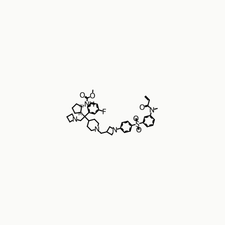 C=CC(=O)N(C)c1cccc(S(=O)(=O)c2ccc(N3CC(CN4CCC(C(CN5CCC5)(c5cccc(F)c5)[C@H]5CCC[C@@H]5NC(=O)OC)CC4)C3)cc2)c1